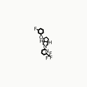 Fc1cccc(O[C@H]2CC[C@@H]3CN(c4cccc(C(F)(F)F)n4)C[C@@H]32)c1